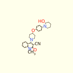 Cn1c(=O)c(C#N)c(N2CCC(Oc3ccc(N4CCCCC4O)cc3)CC2)c2ccccc21